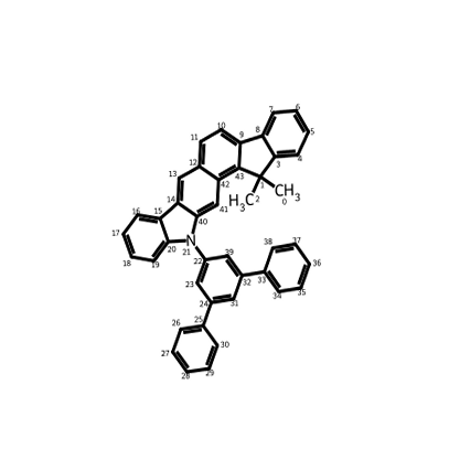 CC1(C)c2ccccc2-c2ccc3cc4c5ccccc5n(-c5cc(-c6ccccc6)cc(-c6ccccc6)c5)c4cc3c21